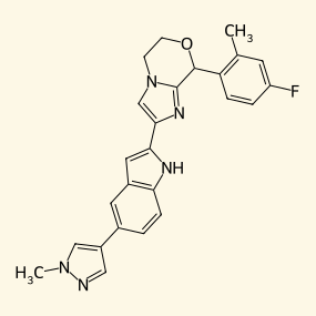 Cc1cc(F)ccc1C1OCCn2cc(-c3cc4cc(-c5cnn(C)c5)ccc4[nH]3)nc21